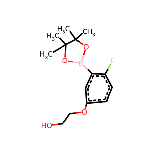 CC1(C)OB(c2cc(OCCO)ccc2F)OC1(C)C